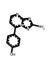 Nc1nc2nccc(-c3ccc(O)cc3)n2n1